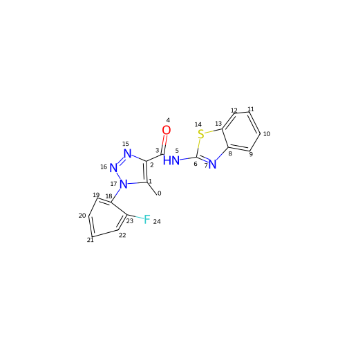 Cc1c(C(=O)Nc2nc3ccccc3s2)nnn1-c1ccccc1F